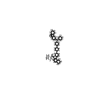 CC1(C)c2cc(-c3ccc(-c4ccc(N(c5ccccc5)c5ccc6oc7ccccc7c6c5)cc4)cc3)ccc2-c2c1ccc1ccccc21